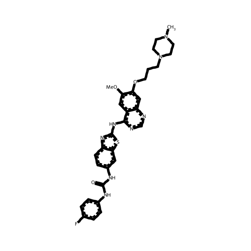 COc1cc2c(Nc3nc4ccc(NC(=O)Nc5ccc(F)cc5)cc4s3)ncnc2cc1OCCCN1CCN(C)CC1